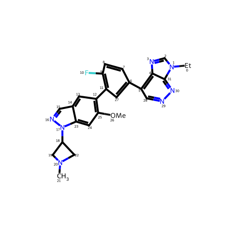 CCn1cnc2c(-c3ccc(F)c(-c4cc5cnn(C6CN(C)C6)c5cc4OC)c3)cnnc21